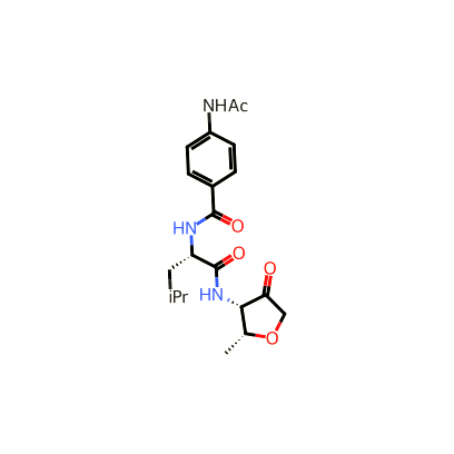 CC(=O)Nc1ccc(C(=O)N[C@@H](CC(C)C)C(=O)N[C@@H]2C(=O)CO[C@@H]2C)cc1